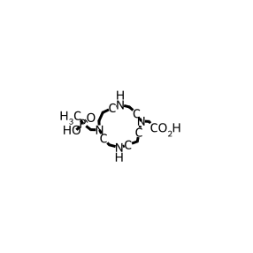 CP(=O)(O)CN1CCCNCCN(CC(=O)O)CCCNCC1